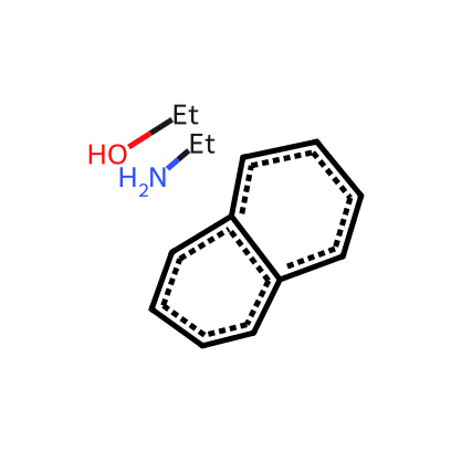 CCN.CCO.c1ccc2ccccc2c1